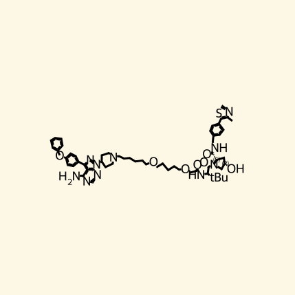 Cc1ncsc1-c1ccc(CNC(=O)[C@@H]2C[C@@H](O)CN2C(=O)C(NC(=O)COCCCCCOCCCCCCN2CCC(n3nc(-c4ccc(Oc5ccccc5)cc4)c4c(N)ncnc43)CC2)C(C)(C)C)cc1